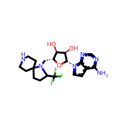 Nc1ncnc2c1ccn2[C@@H]1O[C@H](CN2C(C(F)(F)F)CCC23CCNCC3)[C@@H](O)[C@H]1O